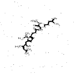 C=C(C)/C=C(C)\C(=C\c1ccc(CCC(=O)N[C@@H](CCCCC(C)C(C)C)C(=O)NCCCCCC)n1B(C)C)CCC